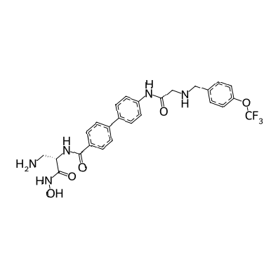 NC[C@H](NC(=O)c1ccc(-c2ccc(NC(=O)CNCc3ccc(OC(F)(F)F)cc3)cc2)cc1)C(=O)NO